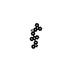 C[Si]1(C)c2ccccc2-c2cc(-c3c4ccccc4c(-c4ccc5c(c4)-c4cc6c7ccccc7c7ccccc7c6cc4[Si]5(C)C)c4ccccc34)ccc21